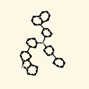 c1ccc(-c2ccc(N(c3cccc(-c4ccc5oc6ccccc6c5c4)c3)c3cccc(-c4cccc5ccccc45)c3)cc2)cc1